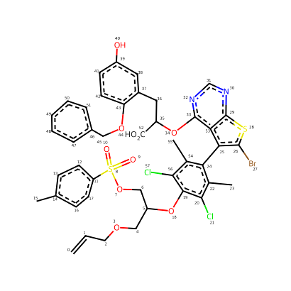 C=CCOCC(COS(=O)(=O)c1ccc(C)cc1)Oc1c(Cl)c(C)c(-c2c(Br)sc3ncnc(OC(Cc4cc(O)ccc4OCc4ccccc4)C(=O)O)c23)c(C)c1Cl